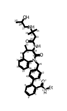 CCNC(=O)c1ccccc1-c1ccc(CN2C(=O)C(NC(=O)CC(C)(C)NCC(C)O)C(C)Cc3ccccc32)cc1